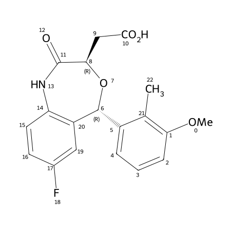 COc1cccc([C@H]2O[C@H](CC(=O)O)C(=O)Nc3ccc(F)cc32)c1C